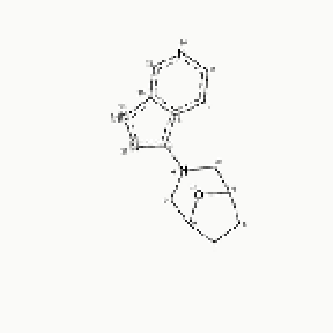 c1cc2c(N3CC4CCC(C3)O4)n[nH]c2cn1